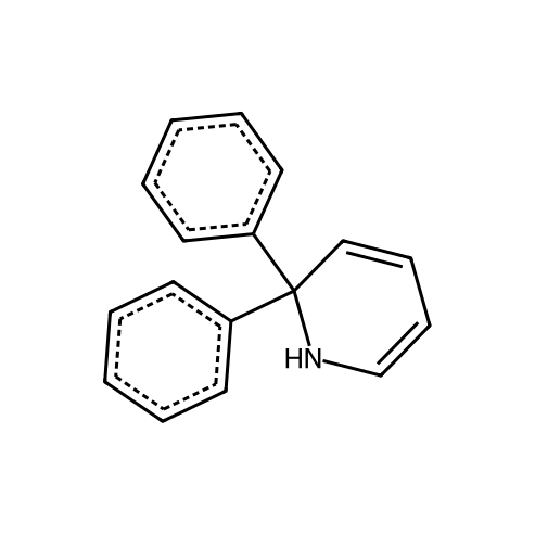 C1=CNC(c2ccccc2)(c2ccccc2)C=C1